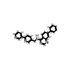 c1ccc(-c2ccc3c(NCc4ccc(-c5cccnc5)nc4)ncnc3c2)cc1